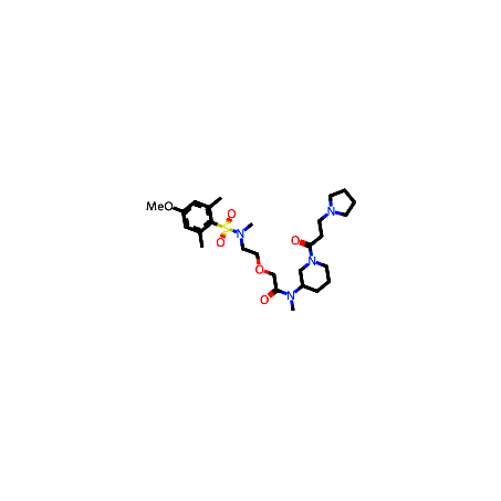 COc1cc(C)c(S(=O)(=O)N(C)CCOCC(=O)N(C)C2CCCN(C(=O)CCN3CCCC3)C2)c(C)c1